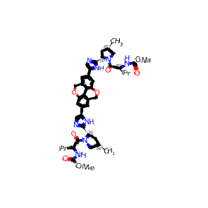 COC(=O)NC(C(=O)N1C[C@@H](C)C[C@H]1c1ncc(-c2cc3c4c(c2)OCc2cc(-c5cnc([C@@H]6C[C@H](C)CN6C(=O)[C@@H](NC(=O)OC)C(C)C)[nH]5)cc(c2-4)OC3)[nH]1)C(C)C